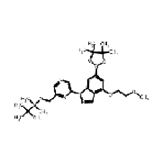 COCCOc1cc(B2OC(C)(C)C(C)(C)O2)cc2c1cnn2-c1cncc(CO[Si](C)(C)C(C)(C)C)n1